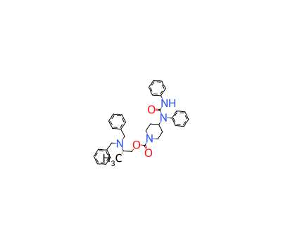 C[C@@H](COC(=O)N1CCC(N(C(=O)Nc2ccccc2)c2ccccc2)CC1)N(Cc1ccccc1)Cc1ccccc1